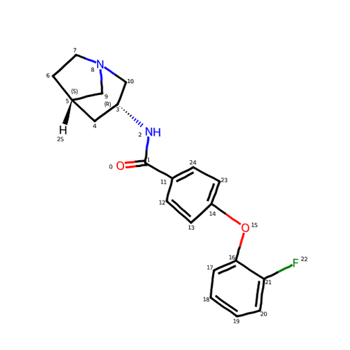 O=C(N[C@@H]1C[C@@H]2CCN(C2)C1)c1ccc(Oc2ccccc2F)cc1